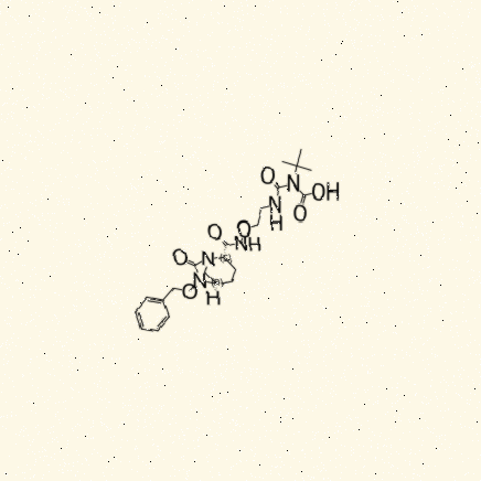 CC(C)(C)N(C(=O)O)C(=O)NCCONC(=O)[C@@H]1CC[C@@H]2CN1C(=O)N2OCc1ccccc1